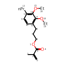 C=C(C)C(=O)OCCCc1ccc(CCC)c(OCC)c1OCC